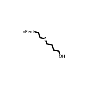 CCCCCCCSCCCCO